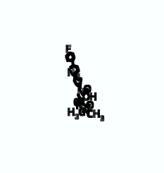 CN(C)C(=O)c1cc(CN(C(=O)O)C2C3CN(c4ccc(-c5ccc(F)cc5)cn4)CC32)on1